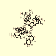 CC(C)[Si](O[C@@H]1[C@@H](Cc2cccc3ccccc23)COC[C@H](N(C(=O)OC(C)(C)C)C(=O)OC(C)(C)C)C(=O)O[C@H]1C)(C(C)C)C(C)C